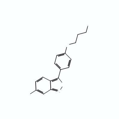 Fc1ccc2c(-c3ccc(OCCCBr)cc3)onc2c1